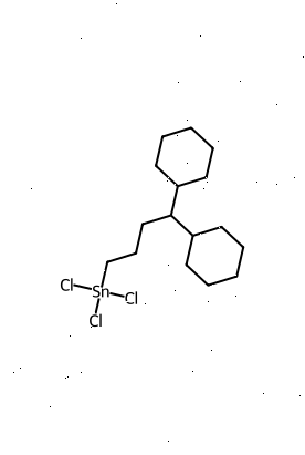 [Cl][Sn]([Cl])([Cl])[CH2]CCC(C1CCCCC1)C1CCCCC1